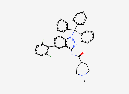 CN1CCC(C(=O)Nc2nn(C(c3ccccc3)(c3ccccc3)c3ccccc3)c3ccc(-c4c(F)cccc4Cl)cc23)CC1